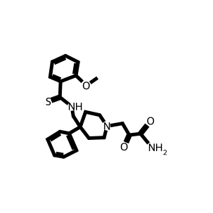 COc1ccccc1C(=S)NCC1(c2ccccc2)CCN(CC(=O)C(N)=O)CC1